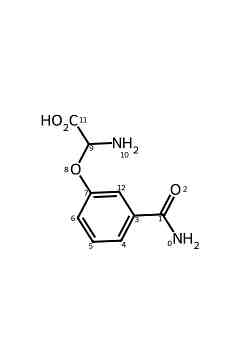 NC(=O)c1cccc(OC(N)C(=O)O)c1